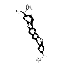 CNc1ccc2c(c1)oc1cc3cc4c(cc3cc12)oc1cc(N(C)C)ccc14